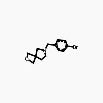 Brc1ccc(CN2CCC3(COC3)C2)cc1